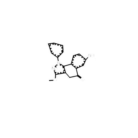 COc1nn(-c2ccccc2)c2c1CC(=O)c1cc(N)ccc1-2